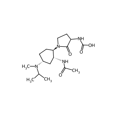 CC(=O)N[C@@H]1C[C@H](N(C)C(C)C)CC[C@H]1N1CCC(NC(=O)O)C1=O